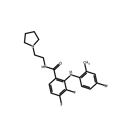 Cc1cc(Br)ccc1Nc1c(C(=O)NCCN2CCCC2)ccc(F)c1F